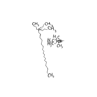 CCCCCCCCCCCCCCCCCC[P+](CCCC)(CCCC)CCCC.CC[P+](CC)(CC)CC.[Br-].[Cl-]